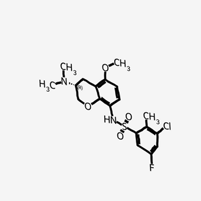 COc1ccc(NS(=O)(=O)c2cc(F)cc(Cl)c2C)c2c1C[C@@H](N(C)C)CO2